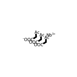 CC(=O)CC(=O)[O-].CC(=O)CC(=O)[O-].CC(=O)CC(=O)[O-].[Nb+3]